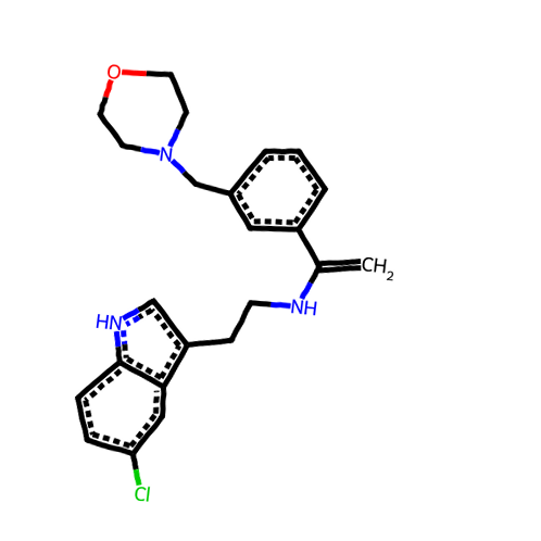 C=C(NCCc1c[nH]c2ccc(Cl)cc12)c1cccc(CN2CCOCC2)c1